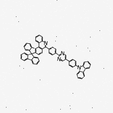 c1ccc2c(c1)-c1ccccc1C21c2ccccc2-c2c1ccc1c(-c3ccc(-c4ncc(-c5ccc(-n6c7ccccc7c7ccccc76)cc5)cn4)cc3)nc3ccccc3c21